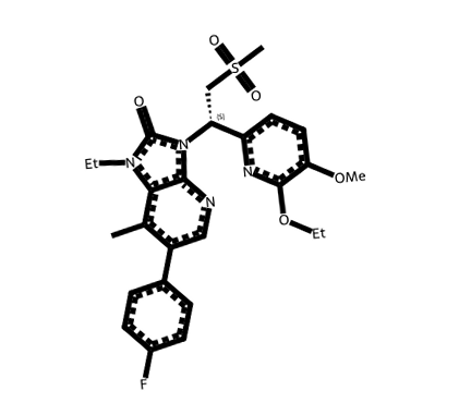 CCOc1nc([C@@H](CS(C)(=O)=O)n2c(=O)n(CC)c3c(C)c(-c4ccc(F)cc4)cnc32)ccc1OC